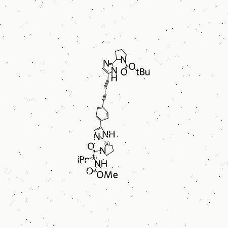 COC(=O)N[C@H](C(=O)N1CCC[C@H]1c1ncc(-c2ccc(C#CC#Cc3cnc(C4CCCN4C(=O)OC(C)(C)C)[nH]3)cc2)[nH]1)C(C)C